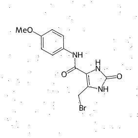 COc1ccc(NC(=O)c2[nH]c(=O)[nH]c2CBr)cc1